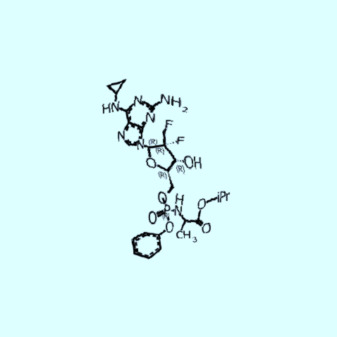 CC(C)OC(=O)C(C)N[P@@](=O)(OC[C@H]1O[C@@H](n2cnc3c(NC4CC4)nc(N)nc32)[C@@](F)(CF)[C@@H]1O)Oc1ccccc1